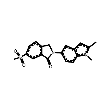 Cc1cc2cc(N3Cc4ccc(S(C)(=O)=O)cc4C3=O)ccc2n1C